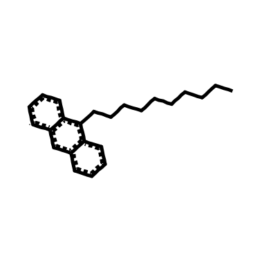 CCCCCCCCCCc1c2ccc[c]c2cc2ccccc12